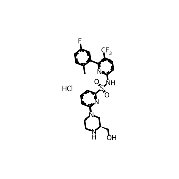 Cc1ccc(F)cc1-c1nc(NS(=O)(=O)c2cccc(N3CCN[C@H](CO)C3)n2)ccc1C(F)(F)F.Cl